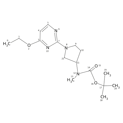 CCOc1ccnc(N2CCC(N(C)C(=O)OC(C)(C)C)C2)n1